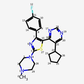 CN1CCN(c2nc(-c3ccc(F)cc3)c(-c3n[c]ncc3C3CCCC3)s2)CC1